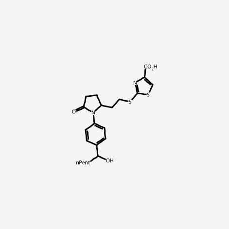 CCCCCC(O)c1ccc(N2C(=O)CCC2CCSc2nc(C(=O)O)cs2)cc1